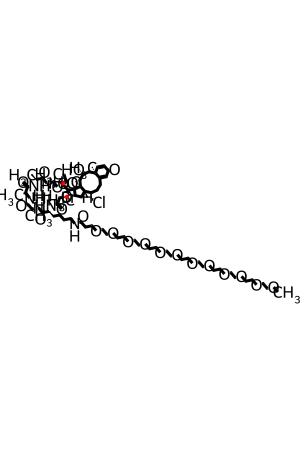 CCC(=O)OC1(C(=O)COCNC(=O)[C@H](C)NC(=O)[C@H](C)NC(=O)[C@H](C)NC(=O)[C@H](CCCCNC(=O)CCOCCOCCOCCOCCOCCOCCOCCOCCOCCOCCOCCOC)NC(=O)CBr)[C@@H](C)C[C@H]2[C@@H](CCl)CCC3=CC(=O)C=C[C@]3(C)C[C@@H](O)C[C@@]21C